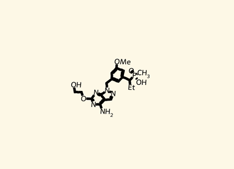 CCC(c1cc(Cn2ncc3c(N)nc(OCCO)nc32)cc(OC)c1)P(C)(=O)O